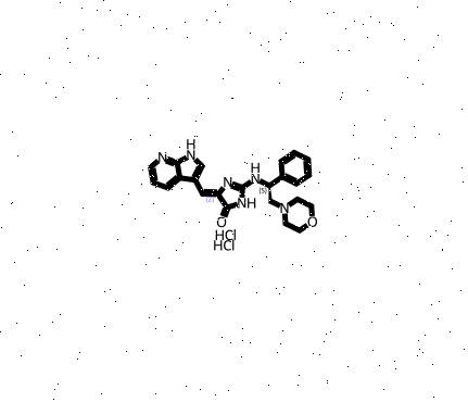 Cl.Cl.O=C1NC(N[C@H](CN2CCOCC2)c2ccccc2)=N/C1=C\c1c[nH]c2ncccc12